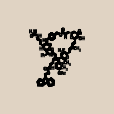 CC(=O)O[C@@H](C)/C=C\C(=O)N[C@@H]1C[C@H](C)[C@H](C/C=C(C)/C=C/[C@H]2O[C@H](CNC(=O)OCc3ccc(NC(=O)[C@H](CCCNC(N)=O)NC(=O)[C@@H](NC(=O)CCCCCNC(=O)OCC4c5ccccc5-c5ccccc54)C(C)C)cc3)C[C@@]3(CO3)[C@@H]2O)O[C@@H]1C